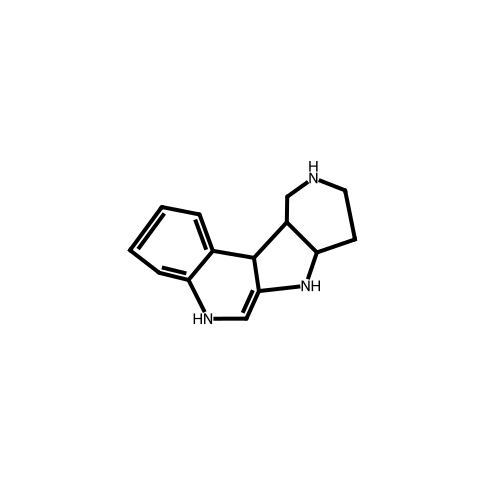 C1=C2NC3CCNCC3C2c2ccccc2N1